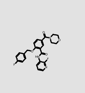 O=C(Nc1cccnc1F)c1cc(C(=O)N2CCOCC2)ccc1OCc1ccc(F)cc1